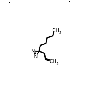 C=CCC1(CCCCC)N=N1